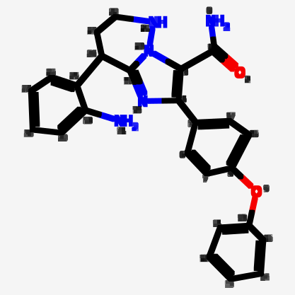 NC(=O)c1c(-c2ccc(Oc3ccccc3)cc2)nc2n1NCCC2c1ccccc1N